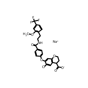 COc1cc(C(F)(F)F)ccc1CCNC(=O)c1ccc(Oc2cc3c(cc2Cl)C(C(=O)[O-])CCO3)cc1.[Na+]